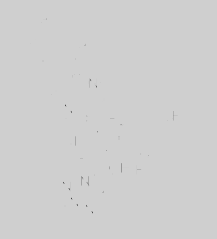 OC(Cn1cnnn1)(c1ccc(F)cc1F)C(F)(F)c1cnc(-c2ccccc2)cn1